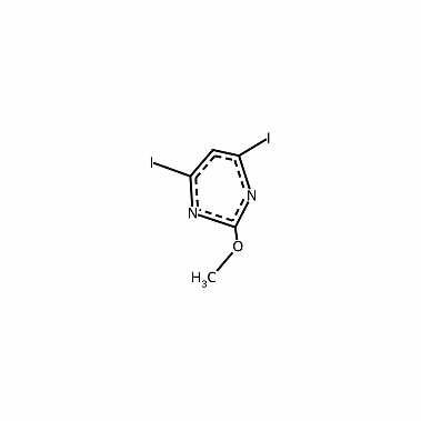 COc1nc(I)cc(I)n1